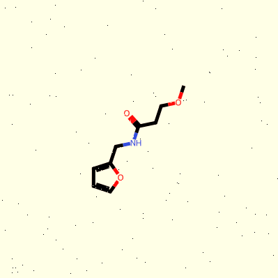 COCCC(=O)NCc1ccco1